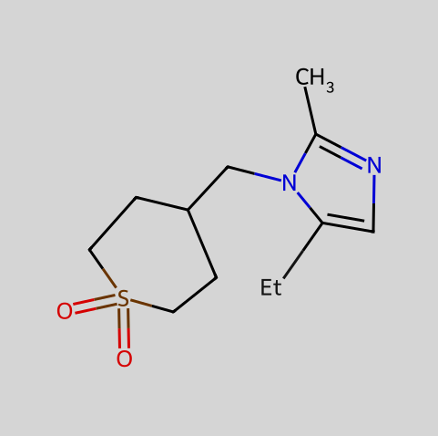 CCc1cnc(C)n1CC1CCS(=O)(=O)CC1